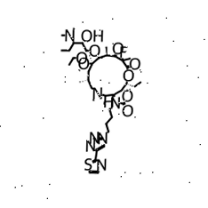 CCO[C@@H](O[C@@H]1[C@@H](C)C(=O)C(C)(F)C(=O)O[C@H](CC)[C@@]2(C)OC(=O)N(CCCCn3cc(-c4nccs4)nn3)[C@@H]2[C@@H](C)N(C)C[C@H](C)C[C@@]1(C)OC)C(O)C(CC)N(C)C